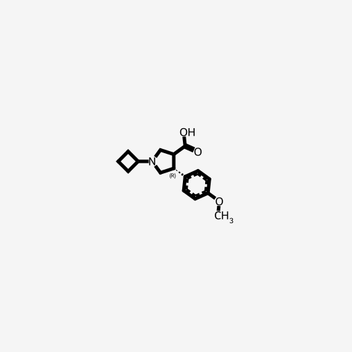 COc1ccc([C@@H]2CN(C3CCC3)CC2C(=O)O)cc1